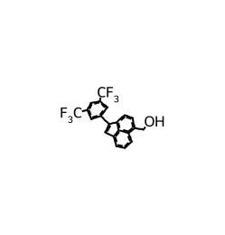 OCc1ccc2c3c(cccc13)C=C2c1cc(C(F)(F)F)cc(C(F)(F)F)c1